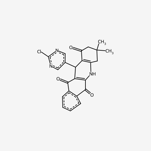 CC1(C)CC(=O)C2=C(C1)NC1=C(C(=O)c3ccccc3C1=O)C2c1cnc(Cl)nc1